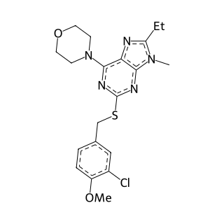 CCc1nc2c(N3CCOCC3)nc(SCc3ccc(OC)c(Cl)c3)nc2n1C